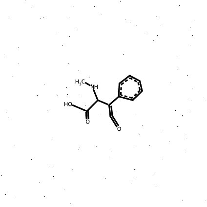 CNC(C(=O)O)C(=C=O)c1ccccc1